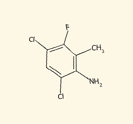 Cc1c(N)c(Cl)cc(Cl)c1F